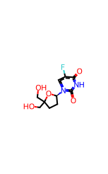 O=c1[nH]c(=O)n([C@H]2CCC(CO)(CO)O2)cc1F